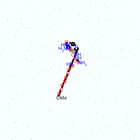 CCCCOc1nc(N)c2[nH]c(=O)n(Cc3ccc(CN4CCC(CCNC(=O)[C@H](CCCCNC(=O)CCOCCOCCOCCOCCOCCOCCOCCOC)NC(=O)CON)CC4)cc3)c2n1